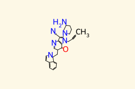 CC#CCn1c2c(c(C#N)c1N1CCC[C@H](N)C1)N=CC(Cc1nccc3ccccc13)C2=O